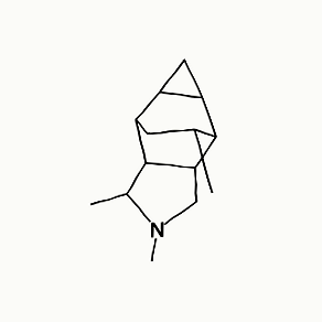 CC1CC2C3CC3C1C1CN(C)C(C)C21